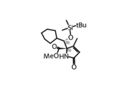 COC(=O)[C@]1([C@@H](O[Si](C)(C)C(C)(C)C)C2CCCCC2)NC(=O)C=C1C